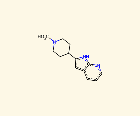 O=C(O)N1CCC(c2cc3cccnc3[nH]2)CC1